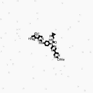 COc1ncc(-c2cnc(N(C(=O)NCC3(F)CC3)C3CCC(Nc4ncc(C(F)(F)F)c(-c5n[nH]cc5Cl)n4)CC3)cn2)cn1